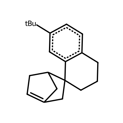 CC(C)(C)c1ccc2c(c1)C1(CCC2)CC2=CCC1C2